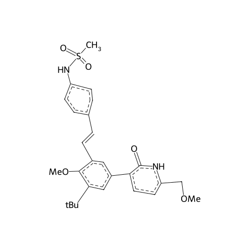 COCc1ccc(-c2cc(C=Cc3ccc(NS(C)(=O)=O)cc3)c(OC)c(C(C)(C)C)c2)c(=O)[nH]1